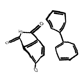 O=C1NC(=O)c2cc(Cl)ccc21.c1ccc(-c2ccccc2)cc1